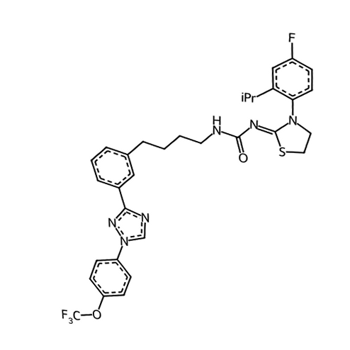 CC(C)c1cc(F)ccc1N1CCS/C1=N\C(=O)NCCCCc1cccc(-c2ncn(-c3ccc(OC(F)(F)F)cc3)n2)c1